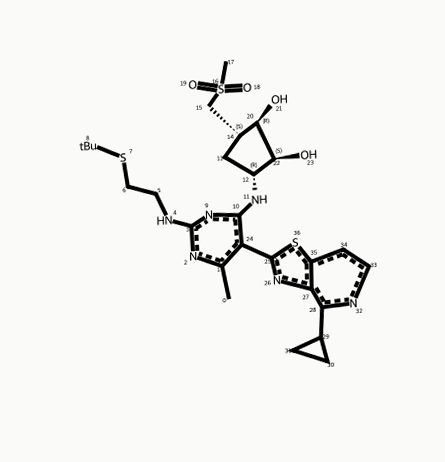 Cc1nc(NCCSC(C)(C)C)nc(N[C@@H]2C[C@H](CS(C)(=O)=O)[C@@H](O)[C@H]2O)c1-c1nc2c(C3CC3)nccc2s1